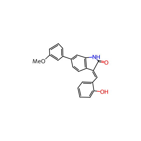 COc1cccc(-c2ccc3c(c2)NC(=O)C3=Cc2ccccc2O)c1